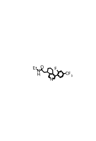 CCNC(=O)CC1CCCc2c(-c3ccc(C(F)(F)F)cc3F)cncc21